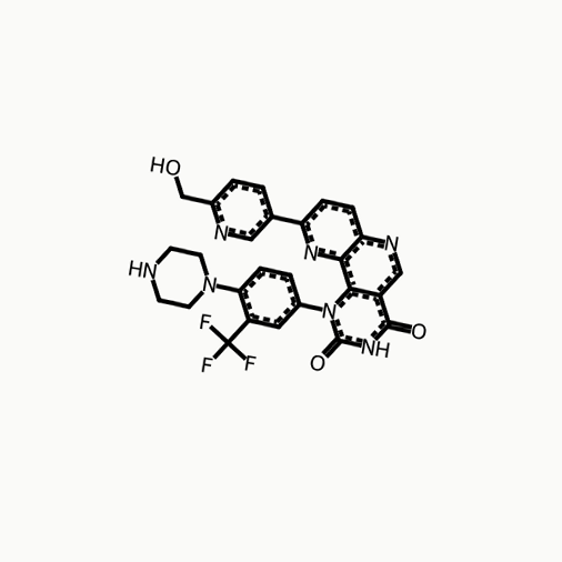 O=c1[nH]c(=O)n(-c2ccc(N3CCNCC3)c(C(F)(F)F)c2)c2c1cnc1ccc(-c3ccc(CO)nc3)nc12